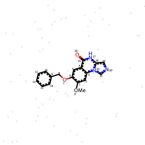 COc1cc2c(cc1OCc1ccccc1)c(=O)[nH]c1cncn12